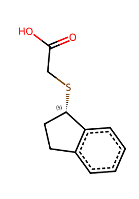 O=C(O)CS[C@H]1CCc2ccccc21